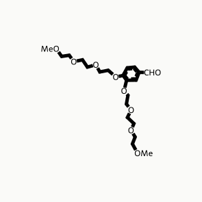 COCCOCCOCCOc1ccc(C=O)cc1OCCOCCOCCOC